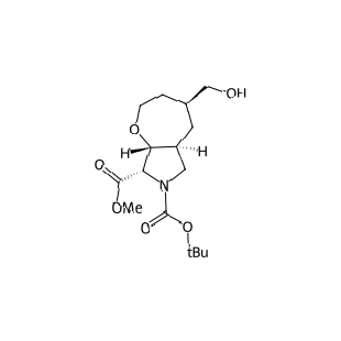 COC(=O)[C@@H]1[C@@H]2OCC[C@@H](CO)C[C@H]2CN1C(=O)OC(C)(C)C